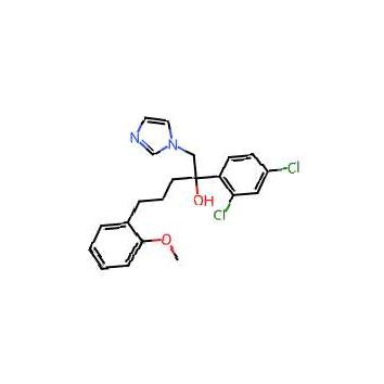 COc1ccccc1CCCC(O)(Cn1ccnc1)c1ccc(Cl)cc1Cl